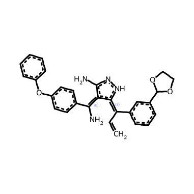 C=C/C(c1cccc(C2OCCO2)c1)=c1/[nH]nc(N)/c1=C(/N)c1ccc(Oc2ccccc2)cc1